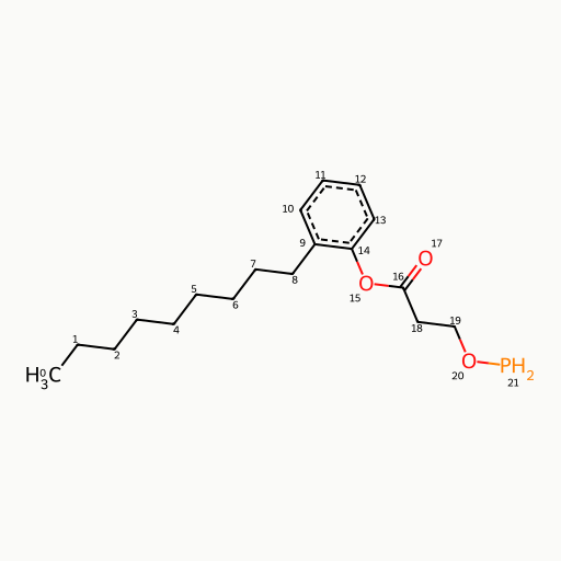 CCCCCCCCCc1ccccc1OC(=O)CCOP